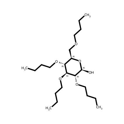 CCCCOC[C@H]1O[C@@H](O)[C@H](OCCCC)[C@@H](OCCCC)[C@@H]1OCCCC